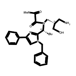 CNC(=O)C(=O)N(C[C@H](CN)CO)[C@@H](c1nc(-c2ccccc2)cn1Cc1ccccc1)C(C)(C)C